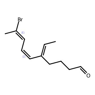 CC=C(/C=C\C=C(/C)Br)CCCC=O